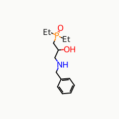 CCP(=O)(CC)CC(O)CNCc1ccccc1